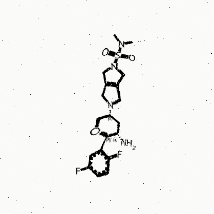 CN(C)S(=O)(=O)N1CC2=C(CN([C@H]3CO[C@H](c4cc(F)ccc4F)[C@@H](N)C3)C2)C1